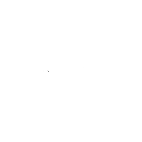 NCc1[c]ccc(Oc2ccc(F)cc2)c1